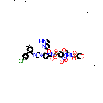 CC1(C)CCC(CN2CCN(c3ccc(C(=O)NS(=O)(=O)c4cc5c(c([N+](=O)[O-])c4)N[C@H](CNS(=O)(=O)C4CCOCC4)CO5)c(Oc4cnc5[nH]ccc5c4)c3)CC2)=C(c2ccc(Cl)cc2)C1